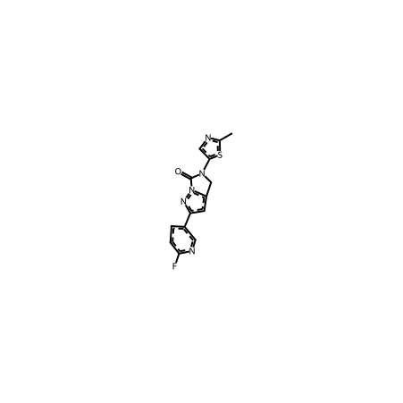 Cc1ncc(N2Cc3cc(-c4ccc(F)nc4)nn3C2=O)s1